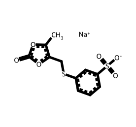 Cc1oc(=O)oc1CSc1cccc(S(=O)(=O)[O-])c1.[Na+]